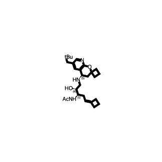 CC(=O)N[C@@H](CC=C1CCC1)[C@H](O)CN[C@H]1CC2(CCC2)Oc2ncc(CC(C)(C)C)cc21